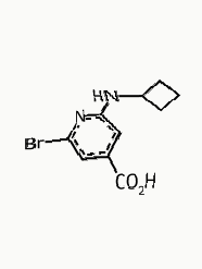 O=C(O)c1cc(Br)nc(NC2CCC2)c1